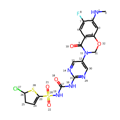 CNc1cc2c(cc1F)C(=O)N(c1cnc(NC(=O)NS(=O)(=O)C3=CCC(Cl)S3)nc1)CO2